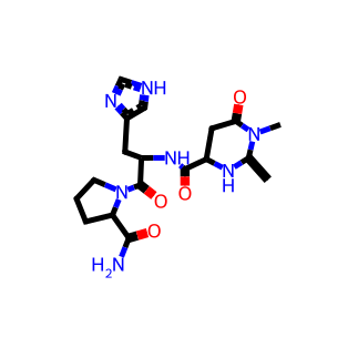 C=C1NC(C(=O)NC(Cc2c[nH]cn2)C(=O)N2CCCC2C(N)=O)CC(=O)N1C